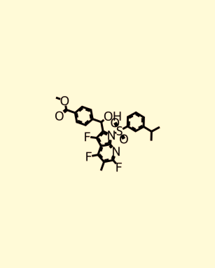 COC(=O)c1ccc(C(O)c2c(F)c3c(F)c(C)c(F)nc3n2S(=O)(=O)c2cccc(C(C)C)c2)cc1